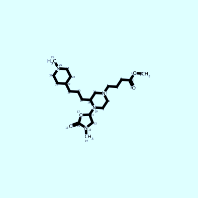 COC(=O)CCCN1CCN(C2CN(C)C(=O)O2)C(CCCC2CCN(C)CC2)C1